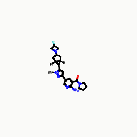 CC(C)n1nc(-c2cnc(N)c(C(=O)N3CCCC3)c2)cc1[C@H]1[C@@H]2C[C@@H](N3CC(F)C3)C[C@@H]21